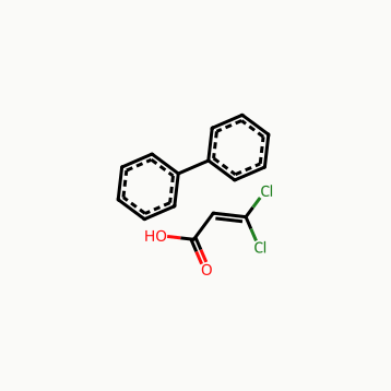 O=C(O)C=C(Cl)Cl.c1ccc(-c2ccccc2)cc1